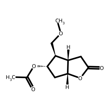 COC[C@H]1[C@@H]2CC(=O)O[C@@H]2C[C@@H]1OC(C)=O